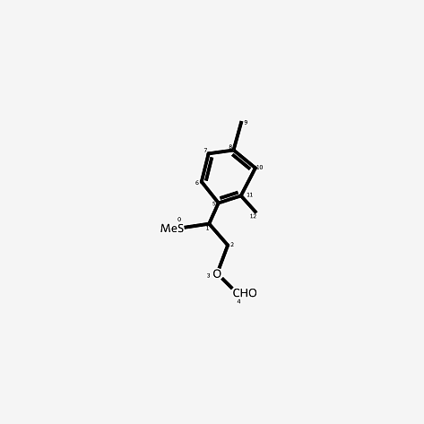 CSC(COC=O)c1ccc(C)cc1C